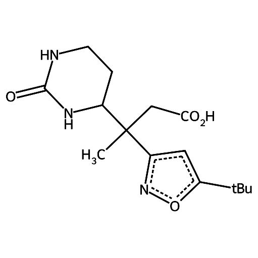 CC(C)(C)c1cc(C(C)(CC(=O)O)C2CCNC(=O)N2)no1